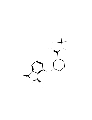 CC(C)(C)OC(=O)N1CCC[C@@H](Oc2cccc3c2C(=O)NC3=O)C1